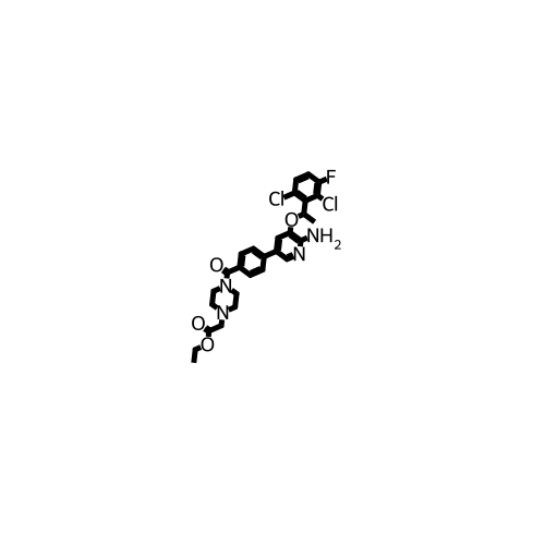 CCOC(=O)CN1CCN(C(=O)c2ccc(-c3cnc(N)c(OC(C)c4c(Cl)ccc(F)c4Cl)c3)cc2)CC1